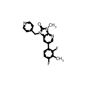 Cc1c(F)ccc(-c2cnc3c(c2)n(Cc2ccncc2)c(=O)n3C)c1F